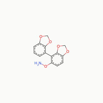 NOc1ccc2c(c1-c1cccc3c1OCO3)OCO2